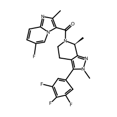 Cc1nc2ccc(F)cn2c1C(=O)N1CCc2c(nn(C)c2-c2cc(F)c(F)c(F)c2)[C@@H]1C